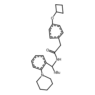 CCCCC(NC(=O)Cc1ccc(OC2CCC2)cc1)c1ccccc1N1CCCCC1